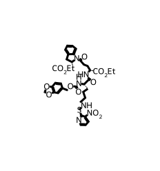 CCOC(=O)[C@@H](CCC(=O)N1c2ccccc2C[C@H]1C(=O)OCC)NC(=O)[C@H](CCCCNSc1ncccc1[N+](=O)[O-])NC(=O)OCc1ccc2c(c1)OCO2